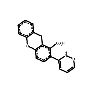 O=C(O)c1c(C2=CC=CON2)ccc2c1Cc1ccccc1O2